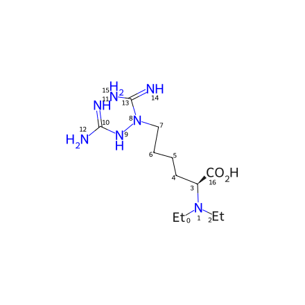 CCN(CC)[C@@H](CCCCN(NC(=N)N)C(=N)N)C(=O)O